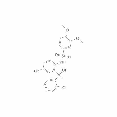 COc1ccc(S(=O)(=O)Nc2ccc(Cl)cc2C(C)(O)c2ccccc2Cl)cc1OC